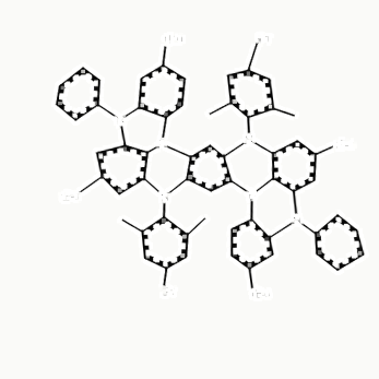 Cc1cc(C(C)C)cc(C)c1N1c2cc3c(cc2B2c4ccc(C(C)(C)C)cc4N(c4ccccc4)c4cc(C(C)(C)C)cc1c42)N(c1c(C)cc(C(C)C)cc1C)c1cc(C(C)(C)C)cc2c1B3c1ccc(C(C)(C)C)cc1N2c1ccccc1